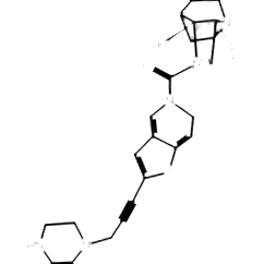 C[C@H]1[C@H](NC(=O)N2C=c3cc(C#CCN4CCNCC4)sc3=CC2)C2CCN1CC2